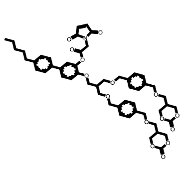 CCCCCc1ccc(-c2ccc(OCC(COCc3ccc(COCC4COC(=O)OC4)cc3)COCc3ccc(COCC4COC(=O)OC4)cc3)c(OC(=O)CN3C(=O)C=CC3=O)c2)cc1